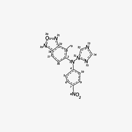 Cc1c(N(c2ccc([N+](=O)[O-])cc2)n2cncn2)ccc2nonc12